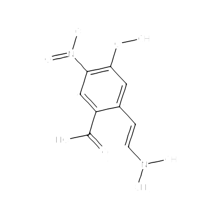 COc1cc(C=CN(C)C)c(C(=O)O)cc1[N+](=O)[O-]